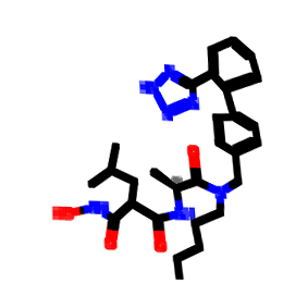 CCCCCN(Cc1ccc(-c2ccccc2-c2nn[nH]n2)cc1)C(=O)[C@H](C)NC(=O)C(CC(C)C)C(=O)NO